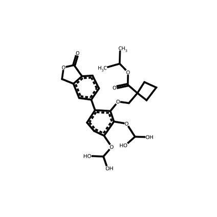 CC(C)OC(=O)C1(COc2c(-c3ccc4c(c3)COC4=O)ccc(OC(O)O)c2OC(O)O)CCC1